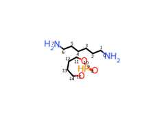 NCCCCCCN.O=[PH]1OCCCCO1